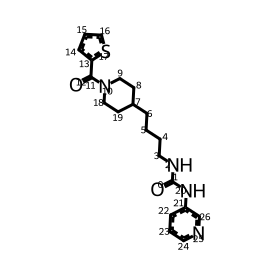 O=C(NCCCCC1CCN(C(=O)c2cccs2)CC1)Nc1cccnc1